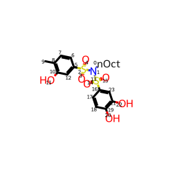 CCCCCCCCN(S(=O)(=O)c1ccc(C)c(O)c1)S(=O)(=O)c1ccc(O)c(O)c1